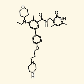 CCN(c1cc(-c2ccc(OCCCN3CCNCC3)cc2)cc(C(=O)NCc2c(C)cc(C)[nH]c2=O)c1C)C1CCOCC1